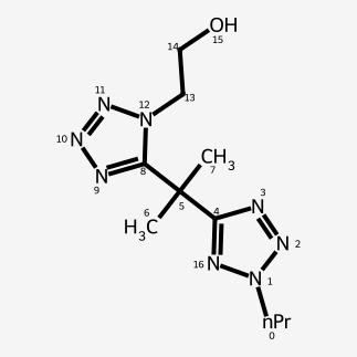 CCCn1nnc(C(C)(C)c2nnnn2CCO)n1